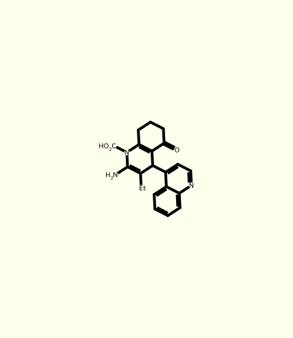 CCC1=C(N)N(C(=O)O)C2=C(C(=O)CCC2)C1c1ccnc2ccccc12